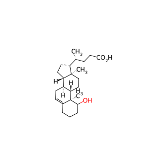 C[C@H](CCC(=O)O)[C@H]1CC[C@H]2[C@@H]3CC=C4CCCC(O)[C@]4(C)[C@H]3CC[C@]12C